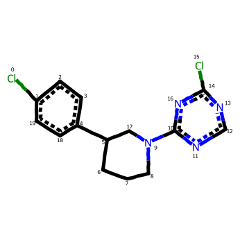 Clc1ccc(C2CCCN(c3ncnc(Cl)n3)C2)cc1